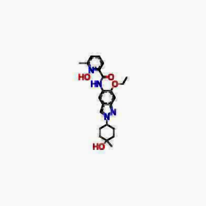 CCOc1cc2nn(C3CCC(C)(O)CC3)cc2cc1NC(=O)c1cccc(C)[n+]1O